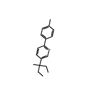 CCC(C)(CC)c1ccc(-c2ccc(C)cc2)nc1